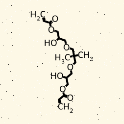 C=CC(=O)OCC(O)COCC(C)(C)COCC(O)COC(=O)C=C